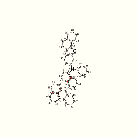 c1ccc(-c2ccc(N(c3ccc4c(c3)oc3c5ccccc5ccc43)c3ccccc3-c3ccc(-c4cc5ccccc5c5ccccc45)cc3)cc2)cc1